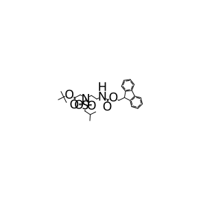 CC(C)CS(=O)(=O)N(CCNC(=O)OCC1c2ccccc2-c2ccccc21)CC(=O)OC(C)(C)C